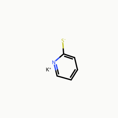 [K+].[S-]c1ccccn1